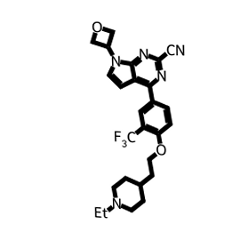 CCN1CCC(CCOc2ccc(-c3nc(C#N)nc4c3ccn4C3COC3)cc2C(F)(F)F)CC1